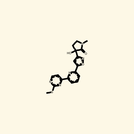 CSc1nccc(-c2cccc(-c3cc(C4(O)CCN(C)C4=O)no3)n2)n1